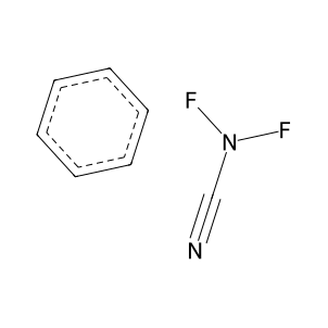 N#CN(F)F.c1ccccc1